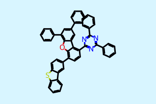 c1ccc(-c2cc(-c3ccccc3)c3oc4c(-c5ccc6sc7ccccc7c6c5)ccc(-c5nc(-c6ccccc6)nc(-c6ccccc6)n5)c4c3c2)cc1